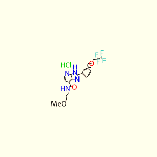 COCCCNC(=O)c1ccnc2[nH]c(-c3cccc(COCC(F)(F)C(F)F)c3)nc12.Cl